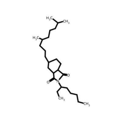 CCCCCC(CC)N1C(=O)C2CCC(CCCC(C)CCCC(C)C)CC2C1=O